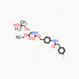 CC(C)(O)COC[C@H](NC(=O)OCc1ccc(NC(=O)Cc2ccc(F)cc2)cc1)C(=O)OCC#N